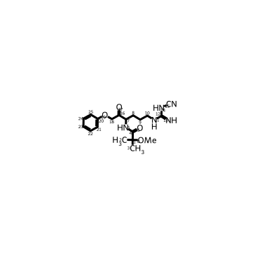 COC(C)(C)C(=O)NC(CCCNC(=N)NC#N)C(=O)COc1ccccc1